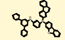 c1ccc(-c2cc(Nc3cccc(N(c4ccc5c(ccc6ccccc65)c4)c4ccc5c(c4)oc4ccccc45)c3)cc(-c3ccccc3)c2)cc1